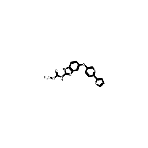 COC(=O)Nc1nc2cc(Sc3ccc(-c4cccs4)nc3)ccc2[nH]1